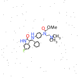 COCC(=O)N(CCN(C)C)c1ccc(N/C(=C2\C(=O)Nc3cc(F)ccc32)c2ccccc2)cc1